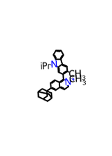 Cc1cc2c3ccccc3n(C(C)C)c2cc1-c1c2ccc(C34CC5CC(CC(C5)C3)C4)cc2cc[n+]1C